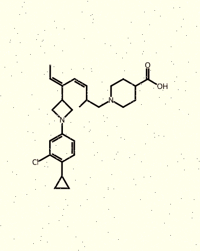 C/C=C(\C=C/C(C)CN1CCC(C(=O)O)CC1)C1CN(c2ccc(C3CC3)c(Cl)c2)C1